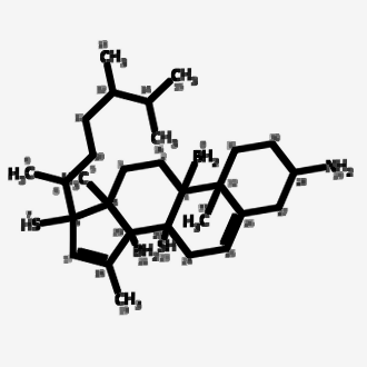 BC12CCC3(C)C(S)(C(C)CCC(C)C(C)C)C=C(C)C3(B)C1(S)CC=C1CC(N)CCC12C